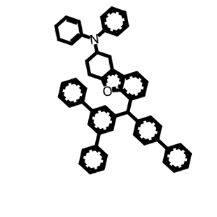 C1=CC(N(c2ccccc2)C2CCc3oc4c(C(c5ccc(-c6ccccc6)cc5)c5cc(-c6ccccc6)cc(-c6ccccc6)c5)cccc4c3C2)=CCC1